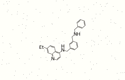 CCc1ccc2c(NCc3cccc(CNCc4ccccc4)c3)ccnc2c1